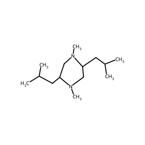 CC(C)CC1CN(C)C(CC(C)C)CN1C